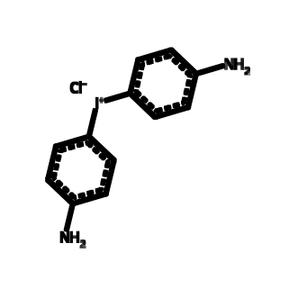 Nc1ccc([I+]c2ccc(N)cc2)cc1.[Cl-]